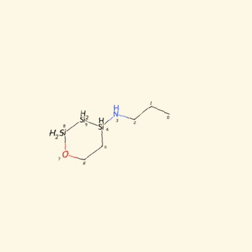 CCCN[SiH]1CCO[SiH2][SiH2]1